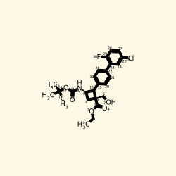 CCOC(=O)[C@]1(CO)C[C@H](NC(=O)OC(C)(C)C)C1c1ccc(-c2cc(Cl)ccc2F)cc1